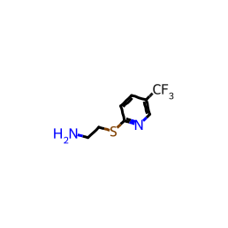 NCCSc1ccc(C(F)(F)F)cn1